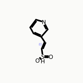 O=[SH](=O)/C=C/c1cccnc1